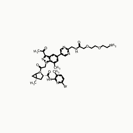 CC(=O)c1nn(CC(=O)N2C3C[C@]3(C)C[C@H]2C(=O)Nc2nc(Br)ccc2C)c2c(C)cc(-c3cnc(CNC(=O)COCCOCCN)nc3)cc12